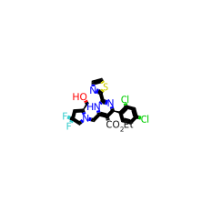 CCOC(=O)C1=C(CN2CC(F)(F)C[C@H]2CO)NC(c2nccs2)=N[C@H]1c1ccc(Cl)cc1Cl